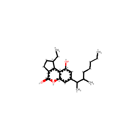 CCCCCC(C)C(C)c1cc(O)c2c3c(c(=O)oc2c1)CCC3CC